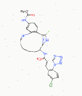 COC(=O)Nc1ccc2c(c1)N=CCCCCC(NC(=O)C=Cc1cc(Cl)ccc1-n1cnnn1)c1nc-2c(F)[nH]1